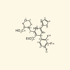 CCOC(=O)C1=C(CN2CCOCC2C(=O)O)NC(c2nccs2)=NC1c1ccc(F)c(F)c1F